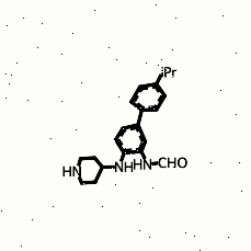 CC(C)c1ccc(-c2ccc(NC3CCNCC3)c(NC=O)c2)cc1